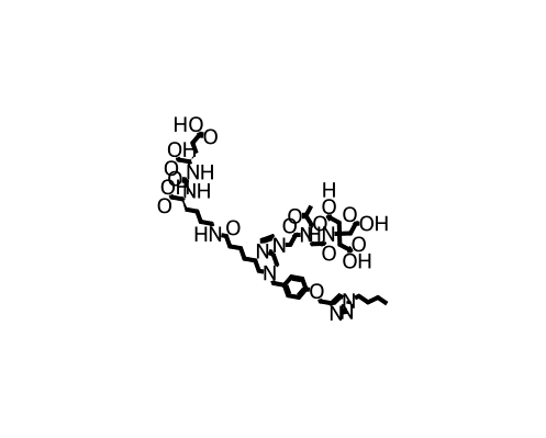 CCCCn1cc(COc2ccc(CN(CCCCCC(=O)NCCCC[C@H](NC(=O)N[C@@H](CCC(=O)O)C(=O)O)C(=O)O)Cc3nccn3CC(=O)N(CC(C)=O)CC(=O)NC(CC(=O)O)(CC(=O)O)CC(=O)O)cc2)nn1